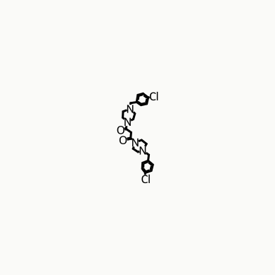 O=C(CC(=O)N1CCN(Cc2ccc(Cl)cc2)CC1)N1CCN(Cc2ccc(Cl)cc2)CC1